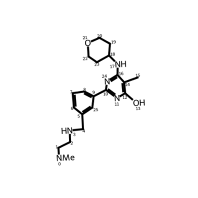 CNCCNCc1cccc(-c2nc(O)c(C)c(NC3CCOCC3)n2)c1